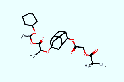 C=C(C)C(=O)OCC(=O)OC1C2CC3CC1CC(OC(C)C(=O)OC(C)OC1CCCCC1)(C3)C2